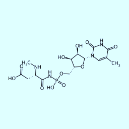 CN[C@@H](CC(=O)O)C(=O)NP(=O)(O)OC[C@H]1O[C@@H](n2cc(C)c(=O)[nH]c2=O)[C@H](O)[C@@H]1O